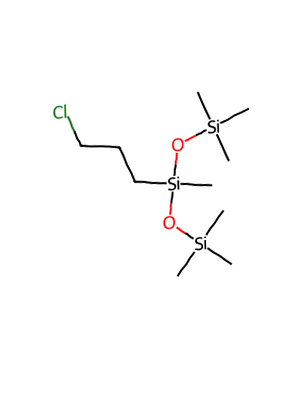 C[Si](C)(C)O[Si](C)(CCCCl)O[Si](C)(C)C